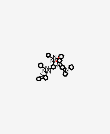 c1ccc(-c2nc(-c3ccccc3)nc(-c3cc(-c4nc(-c5ccccc5)nc(-c5cccc6c5sc5ccccc56)n4)ccc3-n3c4ccccc4c4cc5c(cc43)c3ccccc3n5-c3ccccc3)n2)cc1